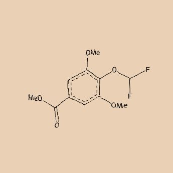 COC(=O)c1cc(OC)c(OC(F)F)c(OC)c1